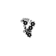 COC(=O)c1cccc(OCCNC(=O)[C@@H]2Cc3ccccc3N2S(=O)(=O)c2ccc(-c3cccc(C(F)(F)F)c3)cc2)c1